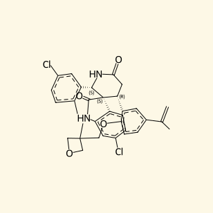 C=C(C)c1ccc(OCC2(C)COC2)c([C@H]2CC(=O)N[C@@H](c3cc(Cl)ccc3C)[C@]23C(=O)Nc2cc(Cl)ccc23)c1